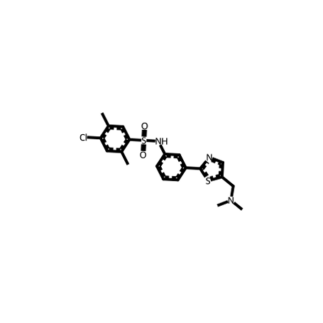 Cc1cc(S(=O)(=O)Nc2cccc(-c3ncc(CN(C)C)s3)c2)c(C)cc1Cl